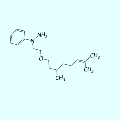 CC(C)=CCCC(C)CCOCCN(N)c1ccccc1